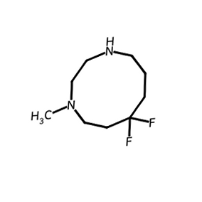 CN1CCNCCCC(F)(F)CC1